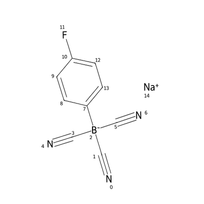 N#C[B-](C#N)(C#N)c1ccc(F)cc1.[Na+]